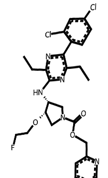 CCc1nc(-c2ccc(Cl)cc2Cl)c(CC)nc1N[C@@H]1CN(C(=O)OCc2ccccn2)C[C@@H]1OCCF